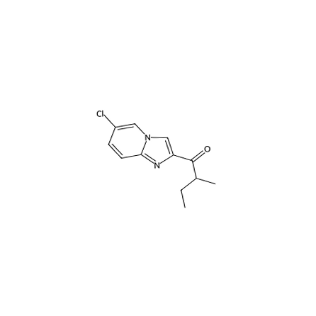 CCC(C)C(=O)c1cn2cc(Cl)ccc2n1